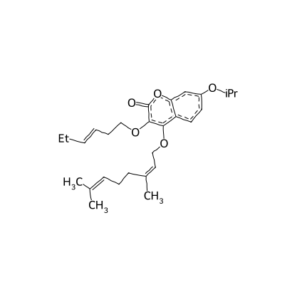 CCC=CCCOc1c(OCC=C(C)CCC=C(C)C)c2ccc(OC(C)C)cc2oc1=O